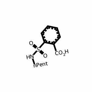 CCCCCNS(=O)(=O)c1ccccc1C(=O)O